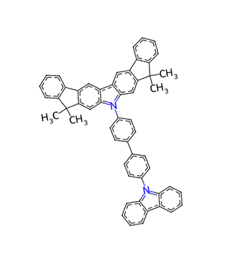 CC1(C)c2ccccc2-c2cc3c4cc5c(cc4n(-c4ccc(-c6ccc(-n7c8ccccc8c8ccccc87)cc6)cc4)c3cc21)C(C)(C)c1ccccc1-5